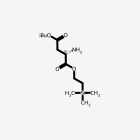 CC(C)COC(=O)C[C@H](N)C(=O)OCC[Si](C)(C)C